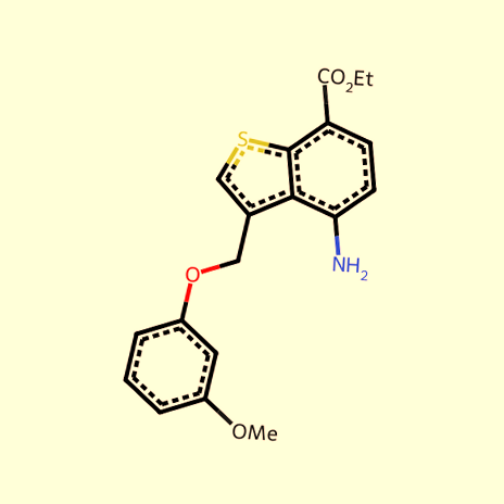 CCOC(=O)c1ccc(N)c2c(COc3cccc(OC)c3)csc12